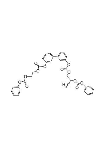 CC(COC(=O)Oc1cccc(-c2cccc(OC(=O)OCCOC(=O)Oc3ccccc3)c2)c1)OC(=O)Oc1ccccc1